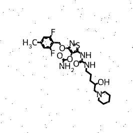 Cc1cc(F)c(COc2nsc(NC(=O)NCCCC(O)CN3CCCCC3)c2OC(N)=O)c(F)c1